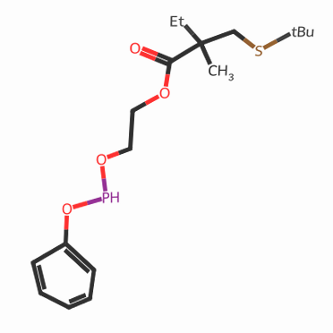 CCC(C)(CSC(C)(C)C)C(=O)OCCOPOc1ccccc1